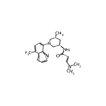 C[C@H]1C[C@@H](NC(=O)C=CN(C)C)CN(c2ccc(C(F)(F)F)c3nccnc23)C1